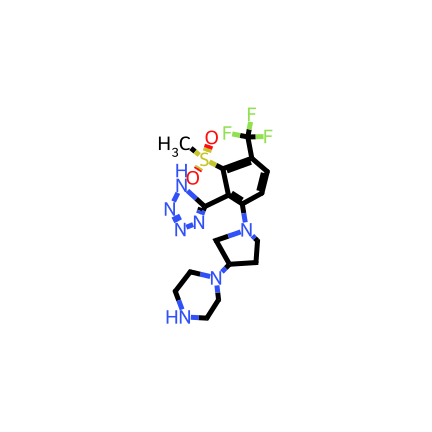 CS(=O)(=O)c1c(C(F)(F)F)ccc(N2CCC(N3CCNCC3)C2)c1-c1nnn[nH]1